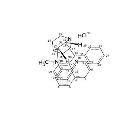 CN(c1cccc2cccnc12)[C@@H]1C2CCN(CC2)[C@@H]1C(c1ccccc1)c1ccccc1.Cl